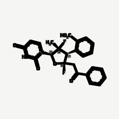 C[C@]1(F)[C@H](n2ccc(=O)[nH]c2=O)O[C@@](F)(CC(=O)c2ccccc2)[C@H]1c1ccccc1C(=O)O